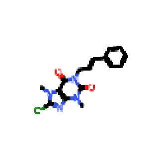 Cn1c(Cl)nc2c1c(=O)n(CC=Cc1ccccc1)c(=O)n2C